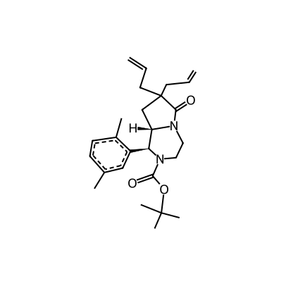 C=CCC1(CC=C)C[C@H]2[C@H](c3cc(C)ccc3C)N(C(=O)OC(C)(C)C)CCN2C1=O